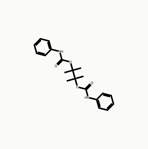 CC(C)(OC(=O)Nc1ccccc1)C(C)(C)OC(=O)Nc1ccccc1